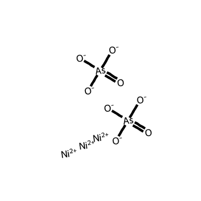 O=[As]([O-])([O-])[O-].O=[As]([O-])([O-])[O-].[Ni+2].[Ni+2].[Ni+2]